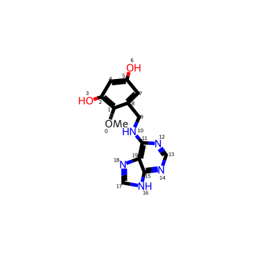 COc1c(O)cc(O)cc1CNc1ncnc2[nH]cnc12